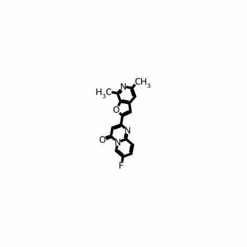 Cc1cc2cc(-c3cc(=O)n4cc(F)ccc4n3)oc2c(C)n1